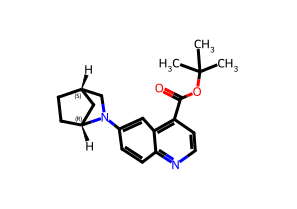 CC(C)(C)OC(=O)c1ccnc2ccc(N3C[C@H]4CC[C@@H]3C4)cc12